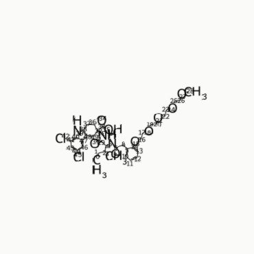 CCC(C)C(NC(=O)Cc1ccccc1OCCOCCOCCOCCOC)C(=O)NC1(C(=O)O)CCc2[nH]c3c(Cl)cc(Cl)cc3c2C1